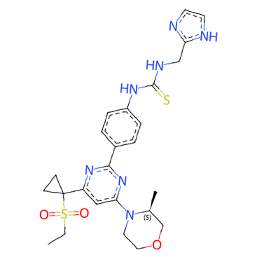 CCS(=O)(=O)C1(c2cc(N3CCOC[C@@H]3C)nc(-c3ccc(NC(=S)NCc4ncc[nH]4)cc3)n2)CC1